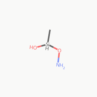 C[SiH](O)ON